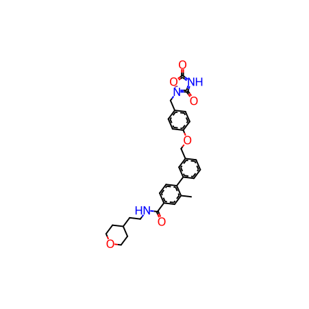 Cc1cc(C(=O)NCCC2CCOCC2)ccc1-c1cccc(COc2ccc(Cn3oc(=O)[nH]c3=O)cc2)c1